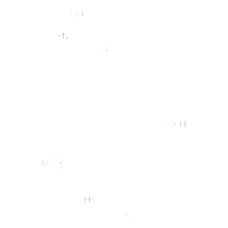 O=C(CCCCC(C(=O)O)C(S)c1cc(C(=O)O)ccc1Cl)NO